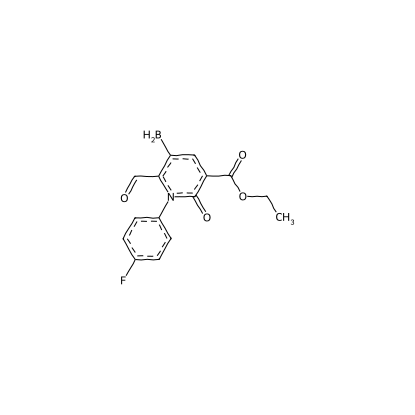 Bc1cc(C(=O)OCC)c(=O)n(-c2ccc(F)cc2)c1C=O